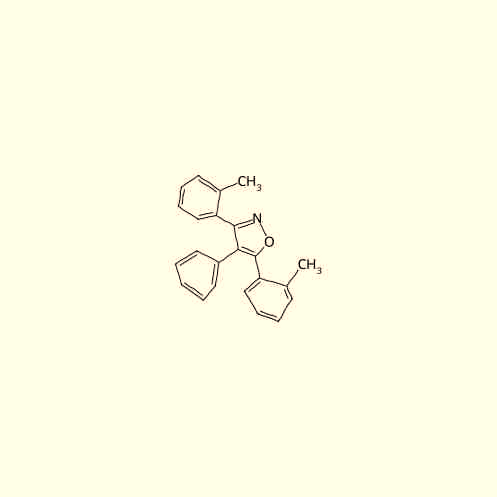 Cc1ccccc1-c1noc(-c2ccccc2C)c1-c1ccccc1